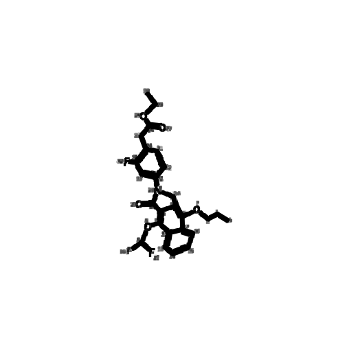 CCCOc1c2c(c(OC(F)F)c3ccccc13)C(=O)N(c1ccc(CC(=O)OCC)c(F)c1)C2